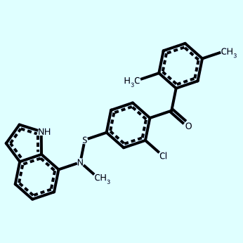 Cc1ccc(C)c(C(=O)c2ccc(SN(C)c3cccc4cc[nH]c34)cc2Cl)c1